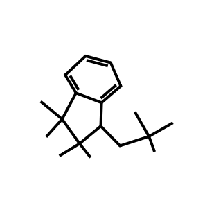 CC(C)(C)CC1c2ccccc2C(C)(C)C1(C)C